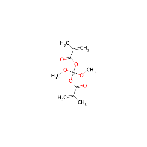 C=C(C)C(=O)O[Si](OC)(OC)OC(=O)C(=C)C